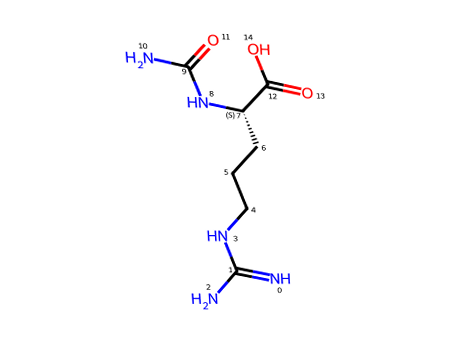 N=C(N)NCCC[C@H](NC(N)=O)C(=O)O